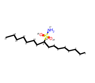 CCCCCCCCC(CCCCCCC)S(N)(=O)=O